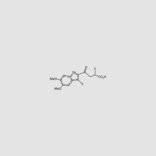 COc1cc2[se]c(C(=O)CC(F)C(=O)O)c(F)c2cc1OC